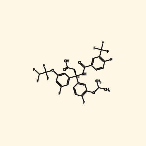 CC(C)Oc1cc([C@@](CC(=O)O)(NC(=O)c2ccc(F)c(C(F)(F)F)c2)c2cc(F)cc(OC(F)(F)C(F)F)c2)ccc1F